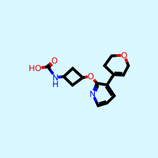 O=C(O)NC1CC(Oc2ncccc2C2=CCOCC2)C1